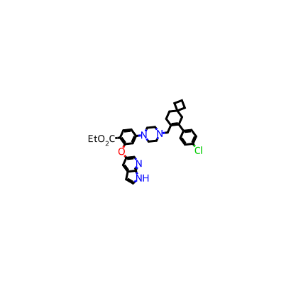 CCOC(=O)c1ccc(N2CCN(CC3=C(c4ccc(Cl)cc4)CC4(CCC4)CC3)CC2)cc1Oc1cnc2[nH]ccc2c1